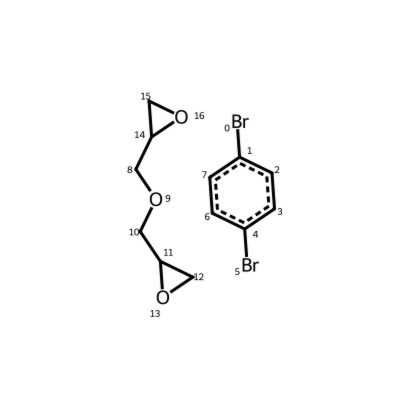 Brc1ccc(Br)cc1.C(OCC1CO1)C1CO1